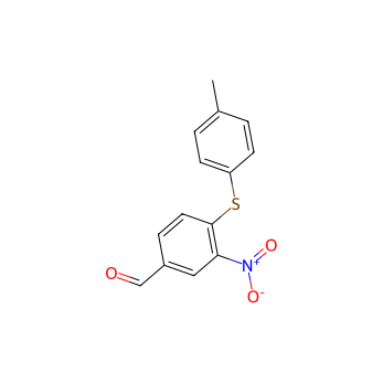 Cc1ccc(Sc2ccc(C=O)cc2[N+](=O)[O-])cc1